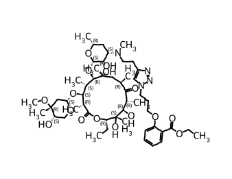 CCOC(=O)c1ccccc1OCCCn1cc(CCN(C)[C@H]2C[C@@H](C)O[C@@H](O[C@@H]3[C@@H](C)[C@H](O[C@H]4C[C@@](C)(OC)[C@@H](O)CO4)[C@@H](C)C(=O)O[C@H](CC)[C@@](C)(O)[C@H](O)[C@@H](C)C(=O)[C@H](C)C[C@@]3(C)O)[C@@H]2O)nn1